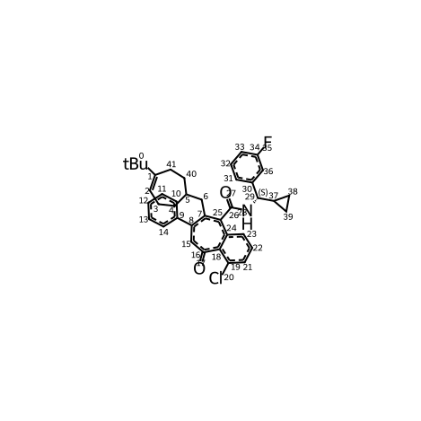 CC(C)(C)C1=CCCC(Cc2c(-c3ccccc3)cc(=O)c3c(Cl)cccc3c2C(=O)N[C@H](c2cccc(F)c2)C2CC2)CC1